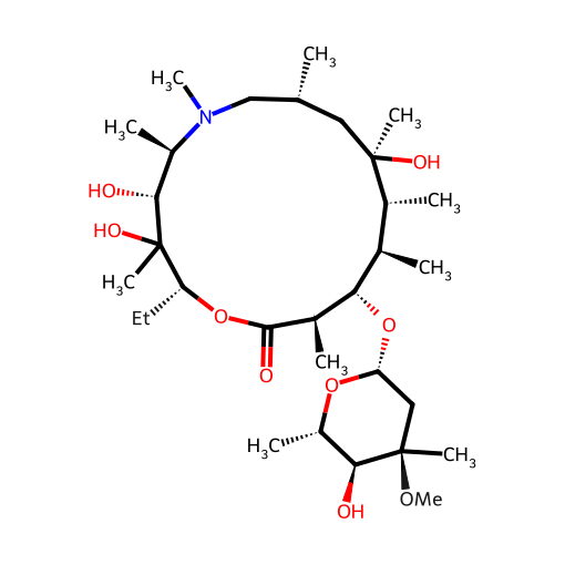 CC[C@H]1OC(=O)[C@H](C)[C@@H](O[C@@H]2C[C@@](C)(OC)[C@@H](O)[C@H](C)O2)[C@H](C)[C@@H](C)[C@](C)(O)C[C@@H](C)CN(C)[C@H](C)[C@@H](O)C1(C)O